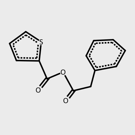 O=C(Cc1ccccc1)OC(=O)c1cccs1